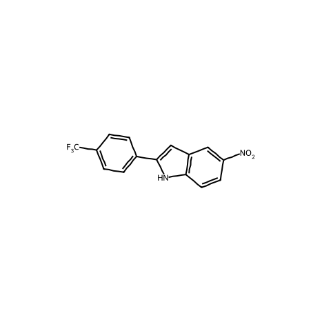 O=[N+]([O-])c1ccc2[nH]c(-c3ccc(C(F)(F)F)cc3)cc2c1